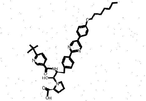 CCCCCCCOc1ccc(-c2cnc(-c3ccc(C[C@H](NC(=O)c4ccc(C(C)(C)C)nc4)C(O)N4CCC[C@H]4C(=O)O)cc3)nc2)cc1